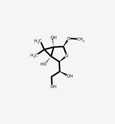 CO[C@H]1O[C@@H]([C@@H](O)CO)[C@@]2(O)C(C)(C)[C@@]12O